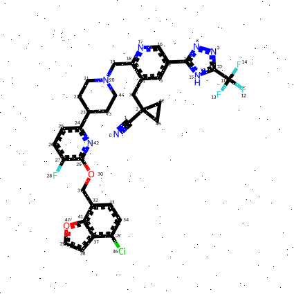 N#CC1(Cc2cc(-c3nnc(C(F)(F)F)[nH]3)cnc2CN2CCC(c3ccc(F)c(OCc4ccc(Cl)c5ccoc45)n3)CC2)CC1